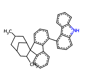 CC1CC2CC(C)C3(c4ccccc4-c4c(-c5cccc6[nH]c7ccccc7c56)cccc43)C(C1)C2